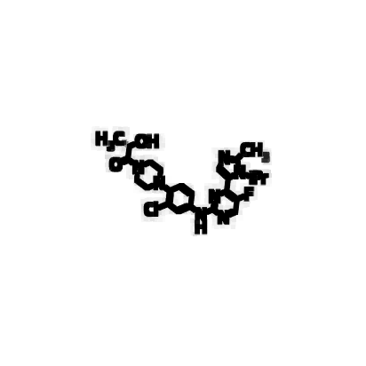 Cc1ncc(-c2nc(Nc3ccc(N4CCN(C(=O)[C@H](C)O)CC4)c(Cl)c3)ncc2F)n1C(C)C